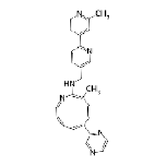 Cc1cc(-c2ccc(CNc3nccccc(-c4cnccn4)ccc3C)cn2)ccn1